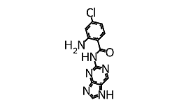 Nc1cc(Cl)ccc1C(=O)Nc1ncc2[nH]cnc2n1